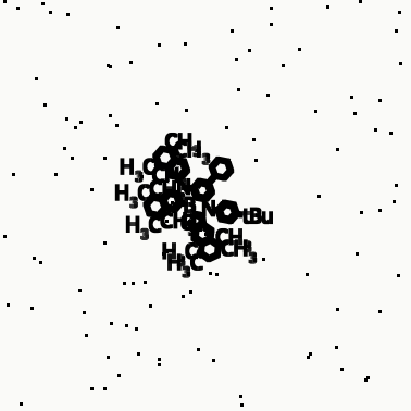 CC(C)(C)c1ccc(N2c3cc(C4CCCCC4)cc4c3B(c3cc5c(cc3N4c3ccc4c(c3)C(C)(C)CCC4(C)C)C(C)(C)CCC5(C)C)c3oc4cc5c(cc4c32)C(C)(C)CCC5(C)C)cc1